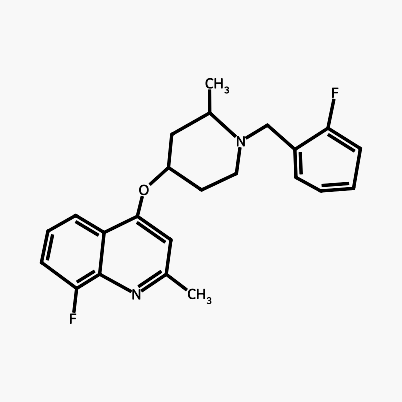 Cc1cc(OC2CCN(Cc3ccccc3F)C(C)C2)c2cccc(F)c2n1